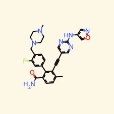 Cc1ccc(C(N)=O)c(-c2ccc(CN3CCN(C)CC3)c(F)c2)c1C#Cc1cnc(Nc2cnoc2)nc1